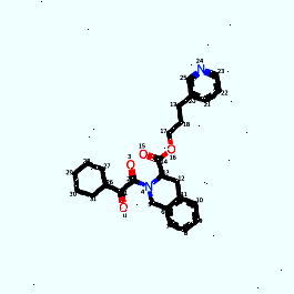 O=C(C(=O)N1Cc2ccccc2CC1C(=O)OCCCc1cccnc1)C1CCCCC1